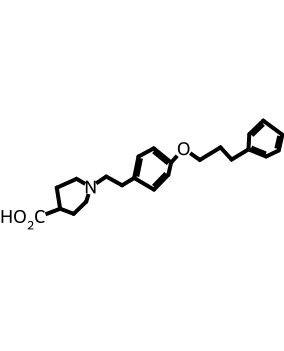 O=C(O)C1CCN(CCc2ccc(OCCCc3ccccc3)cc2)CC1